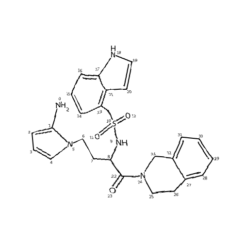 Nc1cccn1CCC(NS(=O)(=O)c1cccc2[nH]ccc12)C(=O)N1CCc2ccccc2C1